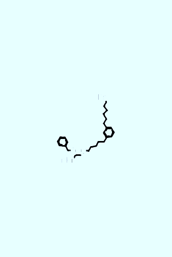 CCCC(COCCCCCc1cccc(CCCCCCC(C)C)c1)OCc1ccccc1